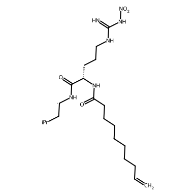 C=CCCCCCCCC(=O)N[C@@H](CCCNC(=N)N[N+](=O)[O-])C(=O)N[CH]CC(C)C